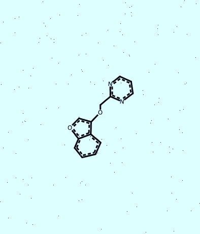 [c]1oc2ccccc2c1OCc1ncccn1